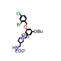 CC(C)COc1cc(C[N+]2(C)CCC(CNC(=O)[O-])C2)cc(OCc2ccc(Cl)cc2Br)c1